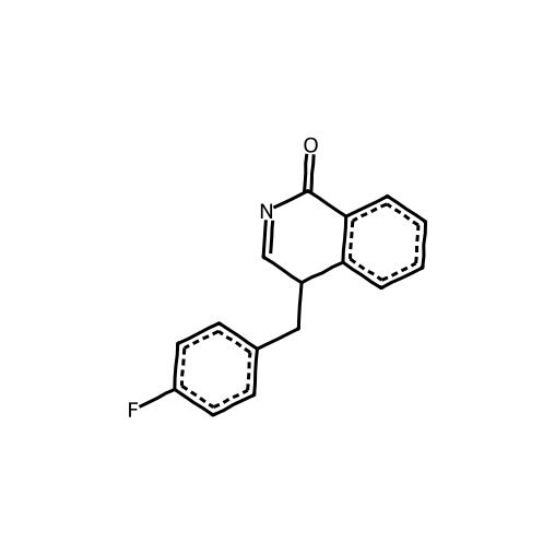 O=C1N=CC(Cc2ccc(F)cc2)c2ccccc21